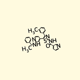 Cc1cccc(-c2nc(NC(=O)c3cccnc3)sc2-c2ccnc(NC(C)c3ccccc3)c2)c1